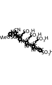 COc1ccc2nc3c(C#N)c(C)c(N=Nc4cc(C)c(N=Nc5cc(NC(C)=O)c(N=Nc6cc(NC(C)=O)c(N=Nc7ccc(S(=O)(=O)O)cc7)cc6SCCCS(=O)(=O)O)cc5SCCCS(=O)(=O)O)cc4OCCCS(=O)(=O)O)c(O)n3c2c1S(=O)(=O)O